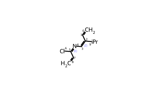 C=C/C(=C\N=C(\Cl)C=C)C(C)C